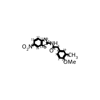 COc1ccc(CC(=O)Nc2nc3ccc([N+](=O)[O-])cc3s2)cc1C